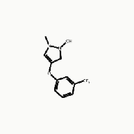 CN1C=C(Oc2cccc(C(F)(F)F)c2)CN1O